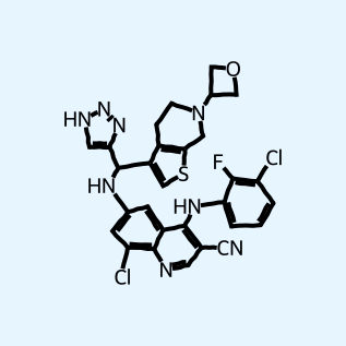 N#Cc1cnc2c(Cl)cc(NC(c3c[nH]nn3)c3csc4c3CCN(C3COC3)C4)cc2c1Nc1cccc(Cl)c1F